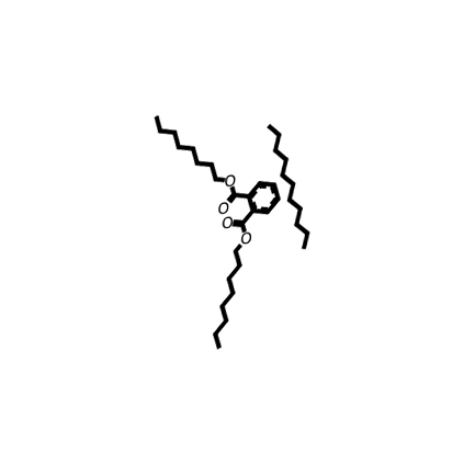 CCCCCCCCCCC.CCCCCCCCOC(=O)c1ccccc1C(=O)OCCCCCCCC